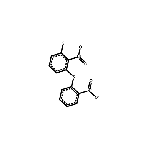 O=[N+]([O-])c1ccccc1Sc1cccc([S])c1[N+](=O)[O-]